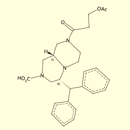 CC(=O)OCCC(=O)N1CCN2[C@H](CN(C(=O)O)C[C@H]2C(c2ccccc2)c2ccccc2)C1